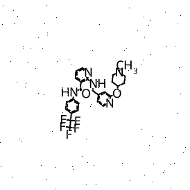 CN1CCC(Oc2cc(CNc3ncccc3C(=O)Nc3ccc(C(F)(F)C(F)(F)F)cc3)ccn2)CC1